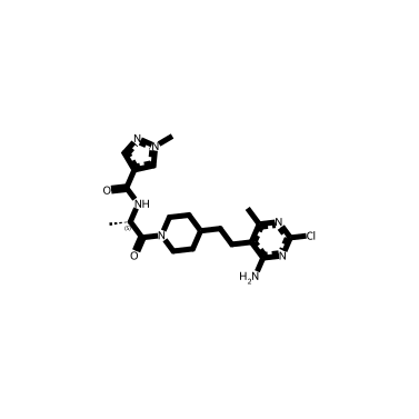 Cc1nc(Cl)nc(N)c1CCC1CCN(C(=O)[C@H](C)NC(=O)c2cnn(C)c2)CC1